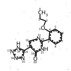 CCCOc1ccccc1-c1ncc(-c2nnn[nH]2)c(=O)[nH]1